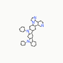 c1ccc(-n2c3ccccc3c3cc4c5cc6c7cnccc7c7nccn7c6cc5n(-c5ccccc5)c4cc32)cc1